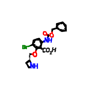 O=C(Nc1ccc(Br)c(OC[C@H]2CCN2)c1C(=O)O)OCc1ccccc1